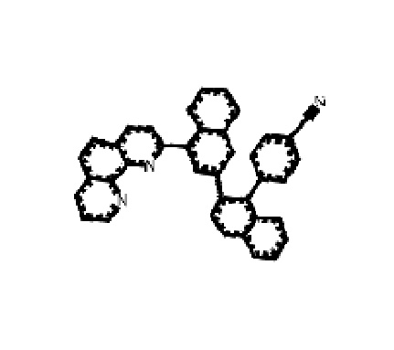 N#Cc1ccc(-c2c(-c3cc(-c4ccc5ccc6cccnc6c5n4)c4ccccc4c3)ccc3ccccc23)cc1